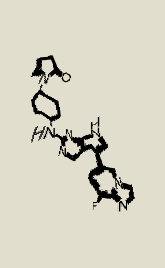 O=C1CCCN1[C@H]1CC[C@@H](Nc2ncc3c(-c4cc(F)c5nccn5c4)c[nH]c3n2)CC1